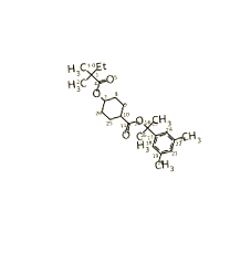 CCC(C)(C)C(=O)OC1CCC(C(=O)OC(C)(C)c2cc(C)cc(C)c2)CC1